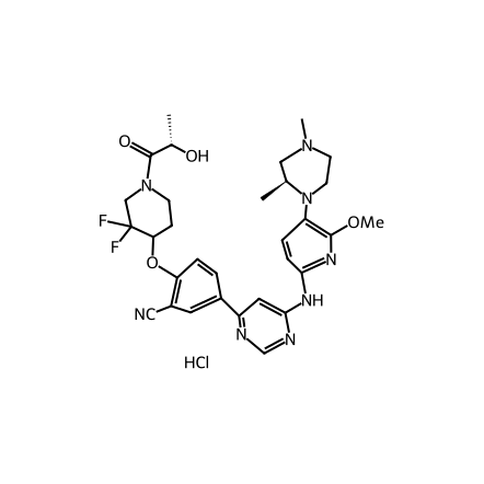 COc1nc(Nc2cc(-c3ccc(OC4CCN(C(=O)[C@H](C)O)CC4(F)F)c(C#N)c3)ncn2)ccc1N1CCN(C)C[C@@H]1C.Cl